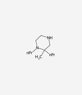 CCCN1CCNCC1(C)CCC